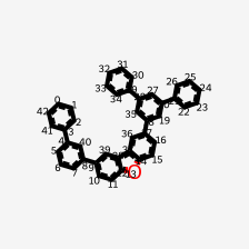 c1ccc(-c2cccc(-c3ccc4oc5ccc(-c6cc(-c7ccccc7)cc(-c7ccccc7)c6)cc5c4c3)c2)cc1